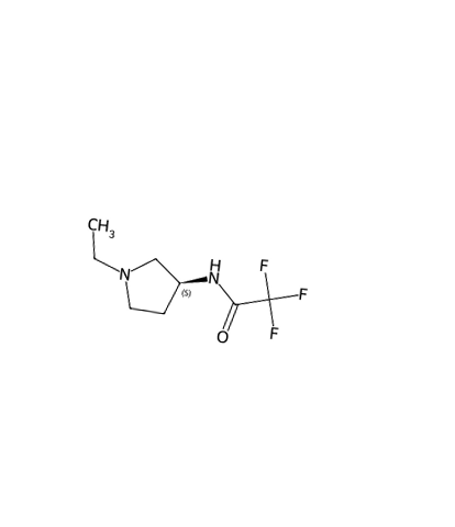 CCN1CC[C@H](NC(=O)C(F)(F)F)C1